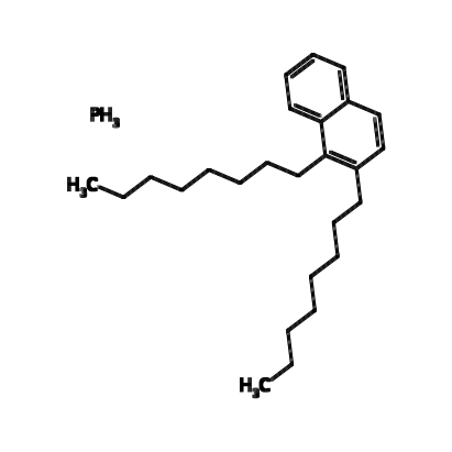 CCCCCCCCc1ccc2ccccc2c1CCCCCCCC.P